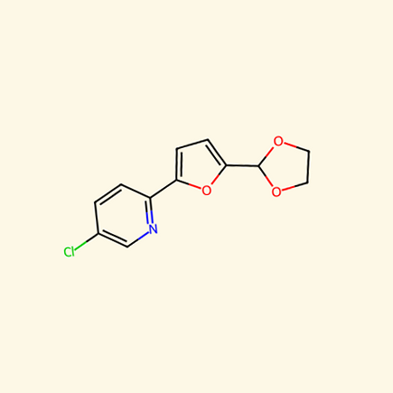 Clc1ccc(-c2ccc(C3OCCO3)o2)nc1